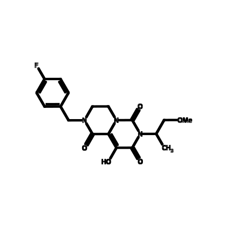 COCC(C)n1c(=O)c(O)c2n(c1=O)CCN(Cc1ccc(F)cc1)C2=O